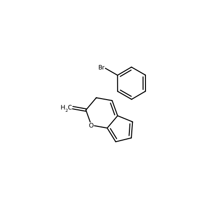 Brc1ccccc1.C=C1CC=C2C=CC=C2O1